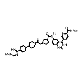 CCN(C(=O)[C@@H]1CCN(CC(=O)N2CC=C(c3ccc(C(=N)/N=C\NC)cc3)CC2)C1)c1ccc(N)c(C(=N)c2ccc(C(=O)NC)nc2)c1